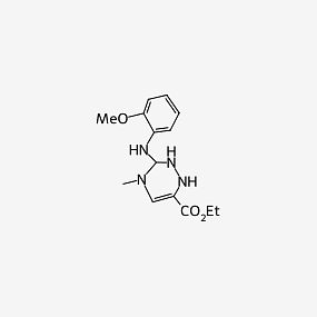 CCOC(=O)C1=CN(C)C(Nc2ccccc2OC)NN1